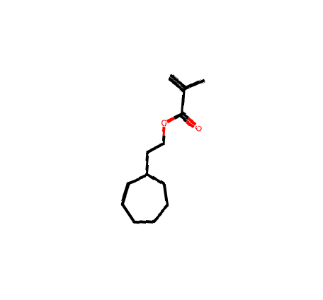 C=C(C)C(=O)OCCC1CCCCCC1